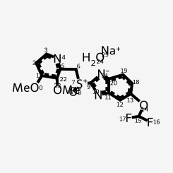 COc1ccnc(C[S+]([O-])c2nc3cc(OC(F)F)ccc3[n-]2)c1OC.O.[Na+]